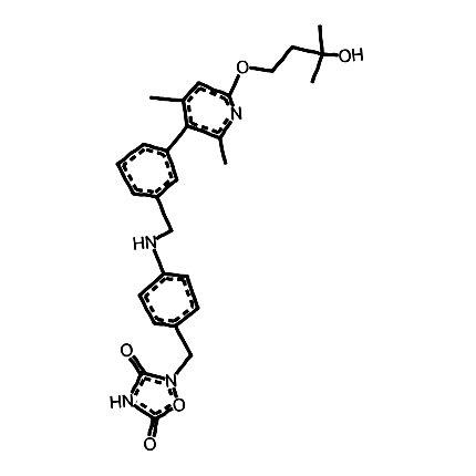 Cc1cc(OCCC(C)(C)O)nc(C)c1-c1cccc(CNc2ccc(Cn3oc(=O)[nH]c3=O)cc2)c1